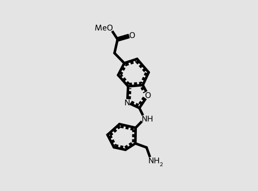 COC(=O)Cc1ccc2oc(Nc3ccccc3CN)nc2c1